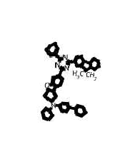 CC1(C)c2ccccc2-c2ccc(-c3nc(-c4ccccc4)nc(-c4ccc5c(c4)oc4ccc(N(c6ccccc6)c6ccc(-c7ccccc7)cc6)cc45)n3)cc21